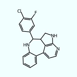 Fc1cc(C2Nc3ccccc3-c3ccnc4c3C2CN4)ccc1Cl